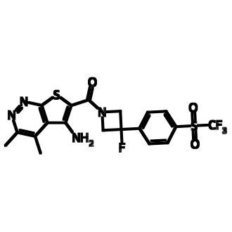 Cc1nnc2sc(C(=O)N3CC(F)(c4ccc(S(=O)(=O)C(F)(F)F)cc4)C3)c(N)c2c1C